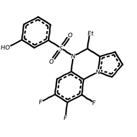 CCC1c2cccn2-c2c(cc(F)c(F)c2F)N1S(=O)(=O)c1cccc(O)c1